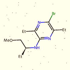 CCc1nc(N[C@@H](CC)COC)c(CC)nc1Br